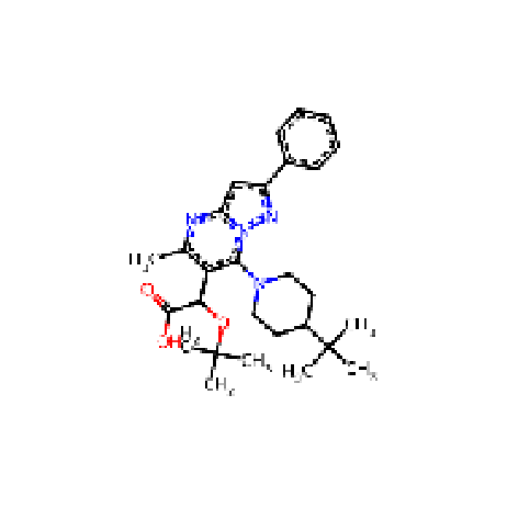 Cc1nc2cc(-c3ccccc3)nn2c(N2CCC(C(C)(C)C)CC2)c1C(OC(C)(C)C)C(=O)O